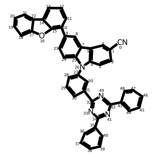 N#Cc1ccc2c(c1)c1cc(-c3cccc4c3oc3ccccc34)ccc1n2-c1cccc(-c2nc(-c3ccccc3)nc(-c3ccccc3)n2)c1